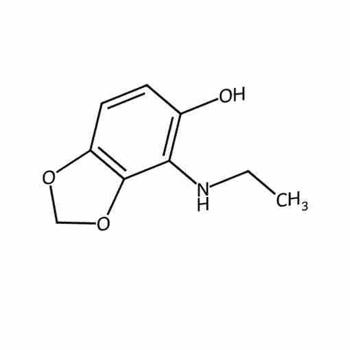 CCNc1c(O)ccc2c1OCO2